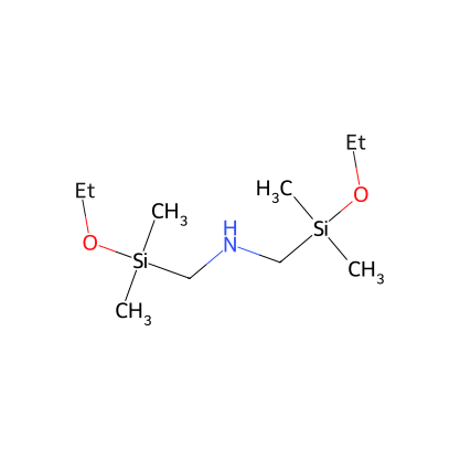 CCO[Si](C)(C)CNC[Si](C)(C)OCC